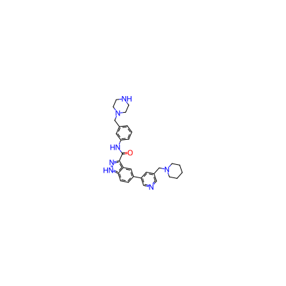 O=C(Nc1cccc(CN2CCNCC2)c1)c1n[nH]c2ccc(-c3cncc(CN4CCCCC4)c3)cc12